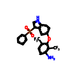 Nc1[c]cc(C(F)(F)F)c(Oc2ccc3[nH]cc(S(=O)(=O)c4ccccc4)c3c2)c1C(F)(F)F